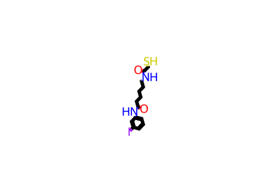 O=C(CS)NCCCCCC(=O)Nc1cccc(I)c1